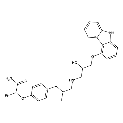 CCC(Oc1ccc(CC(C)CNCC(O)COc2cccc3[nH]c4ccccc4c23)cc1)C(N)=O